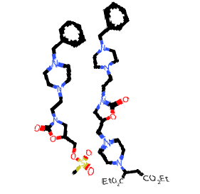 CCOC(=O)CC(C(=O)OCC)N1CCN(CC2CN(CCN3CCN(Cc4ccccc4)CC3)C(=O)O2)CC1.CS(=O)(=O)OCC1CN(CCN2CCN(Cc3ccccc3)CC2)C(=O)O1